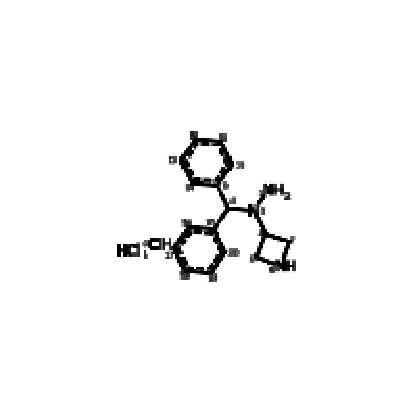 Cl.Cl.NN(C1CNC1)C(c1ccccc1)c1ccccc1